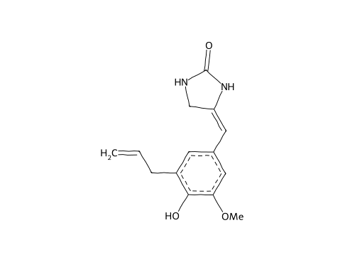 C=CCc1cc(/C=C2\CNC(=O)N2)cc(OC)c1O